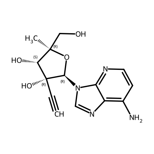 C#C[C@]1(O)[C@H](n2cnc3c(N)ccnc32)O[C@](C)(CO)[C@H]1O